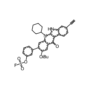 C#Cc1ccc2c(c1)[nH]c1c2c(=O)c2cc(OCC(C)C)c(-c3cccc(OS(=O)(=O)F)c3)cc2n1C1CCCCC1